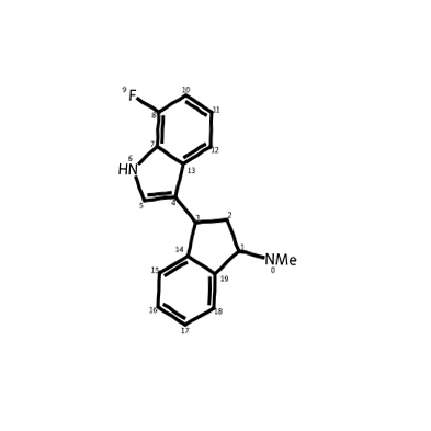 CNC1CC(c2c[nH]c3c(F)cccc23)c2ccccc21